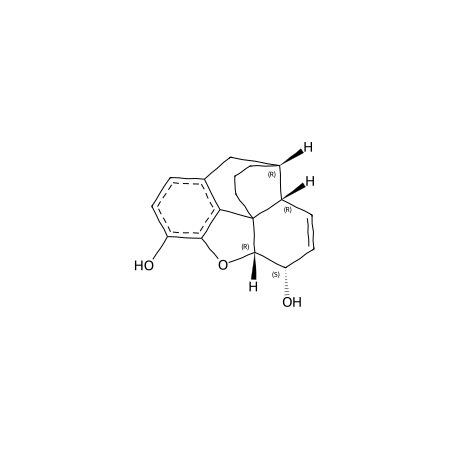 Oc1ccc2c3c1O[C@H]1[C@@H](O)C=C[C@H]4[C@H](CCCC341)C2